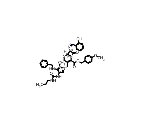 CCCNC(=O)Nc1c[n+](CC2=C(C(=O)OCc3ccc(OC)cc3)N3C(=O)[C@@H](/N=C\c4ccccc4O)[C@H]3SC2)n(C)c1NCc1ccccc1